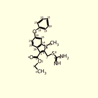 CCOC(=O)c1c(CSC(=N)N)n(C)c2cc(Oc3ccccc3)ccc12